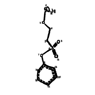 O=S(=O)(O)OCCS(=O)(=O)Oc1ccccc1